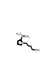 CN(C)c1cccn1CCCCO